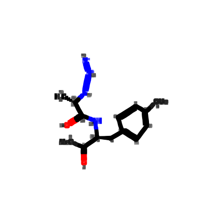 COC(=O)[C@H](Cc1ccc(OC)cc1)NC(=O)[C@H](C)N=[N+]=[N-]